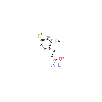 NC(=O)CCc1ccc(F)cc1F